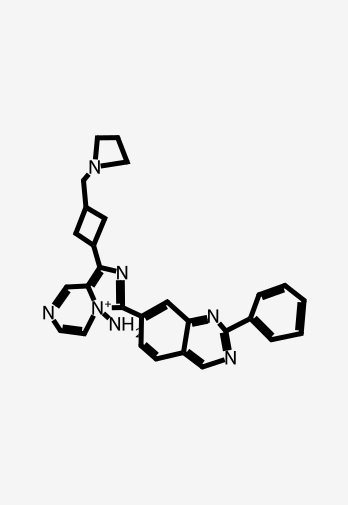 N[N+]12C=CN=CC1=C(C1CC(CN3CCC3)C1)N=C2c1ccc2cnc(-c3ccccc3)nc2c1